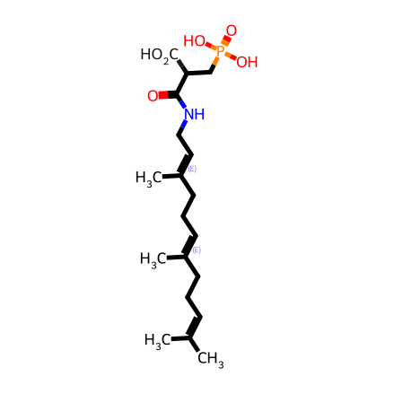 CC(C)=CCC/C(C)=C/CC/C(C)=C/CNC(=O)C(CP(=O)(O)O)C(=O)O